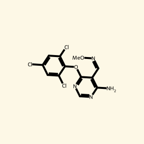 CO/N=C\c1c(N)ncnc1Oc1c(Cl)cc(Cl)cc1Cl